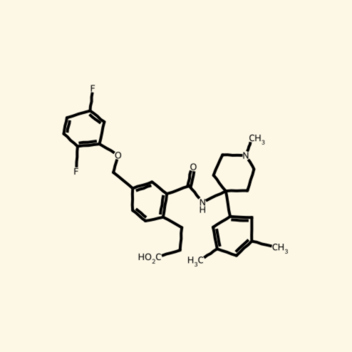 Cc1cc(C)cc(C2(NC(=O)c3cc(COc4cc(F)ccc4F)ccc3CCC(=O)O)CCN(C)CC2)c1